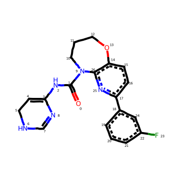 O=C(NC1=CCNC=N1)N1CCCOc2ccc(-c3cccc(F)c3)nc21